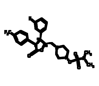 CN(C)S(=O)(=O)ON1CCN(C[C@@H]2OC(=O)N(c3ccc(C(F)(F)F)cc3)[C@H]2c2cccc(F)c2)CC1